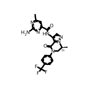 Cc1cc(C(=O)Nc2cnn3c2C(=O)N(c2ccc(C(F)(F)F)cc2)C[C@@H]3C)nc(N)n1